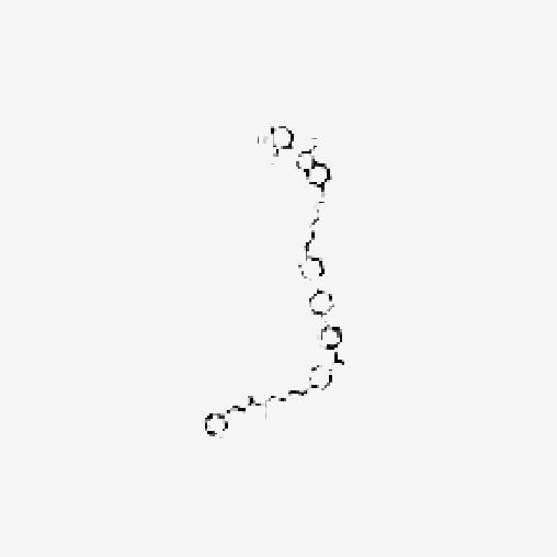 O=C(/C=C/c1cccnc1)NCCCCC1CCN(C(=O)c2ccc(N3CCC(N4CCN(CCCCCSc5ccc6c(c5)CN(C5CCC(=O)NC5=O)C6=O)CC4)CC3)nn2)CC1